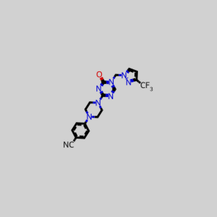 N#Cc1ccc(N2CCN(c3ncn(Cn4ccc(C(F)(F)F)n4)c(=O)n3)CC2)cc1